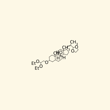 CCOC(COC1CC[C@@]2(C)C(CC[C@@H]3[C@@H]2CC[C@]2(C)[C@@H](/C=C(/C)C4OCCO4)CC[C@@]32O)C1)OCC